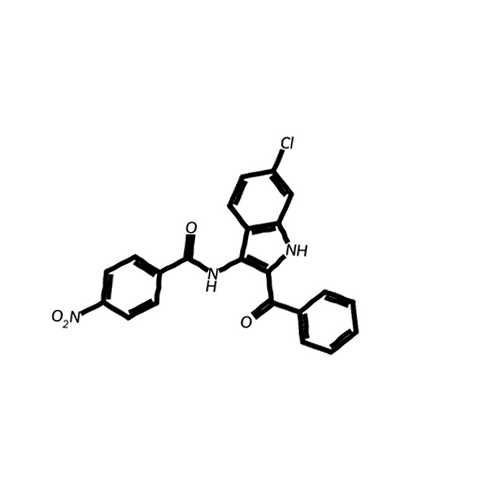 O=C(Nc1c(C(=O)c2ccccc2)[nH]c2cc(Cl)ccc12)c1ccc([N+](=O)[O-])cc1